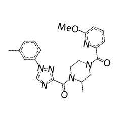 COc1cccc(C(=O)N2CCN(C(=O)c3ncn(-c4cccc(C)c4)n3)C(C)C2)n1